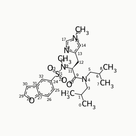 CC(C)CN(CC(C)C)C(=O)[C@H](Cc1cn(C)cn1)N(C)S(=O)(=O)c1ccc2occc2c1